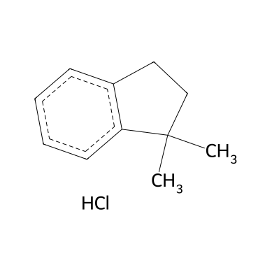 CC1(C)CCc2ccccc21.Cl